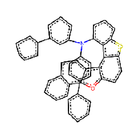 c1ccc(-c2ccc(N(c3cccc(-c4ccccc4)c3)c3cccc4sc5ccc6oc7c8ccccc8ccc7c6c5c34)cc2)cc1